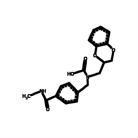 CNC(=O)c1ccc(CN(CC2COc3ccccc3O2)C(=O)O)cc1